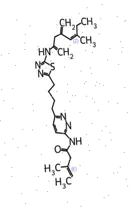 C=C(/C=C(/C)CC)CC(=C)Nc1nnc(CCCCc2ccc(NC(=O)C/C(C)=C/C)nn2)s1